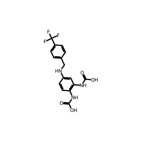 O=C(O)Nc1ccc(NCc2ccc(C(F)(F)F)cc2)cc1NC(=O)O